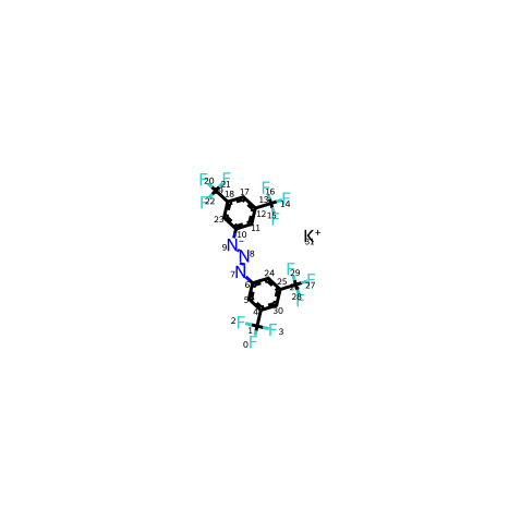 FC(F)(F)c1cc(N=N[N-]c2cc(C(F)(F)F)cc(C(F)(F)F)c2)cc(C(F)(F)F)c1.[K+]